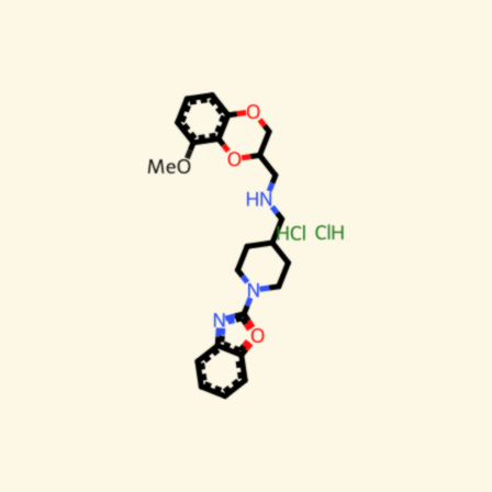 COc1cccc2c1OC(CNCC1CCN(c3nc4ccccc4o3)CC1)CO2.Cl.Cl